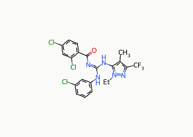 CCn1nc(C(F)(F)F)c(C)c1N/C(=N\C(=O)c1ccc(Cl)cc1Cl)Nc1cccc(Cl)c1